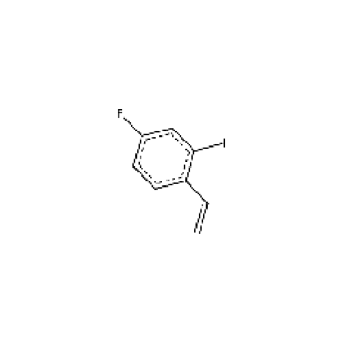 C=Cc1ccc(F)cc1I